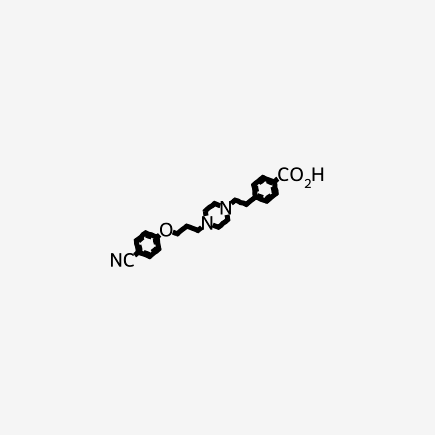 N#Cc1ccc(OCCCN2CCN(CCc3ccc(C(=O)O)cc3)CC2)cc1